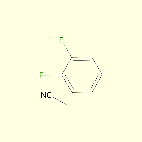 CC#N.Fc1ccccc1F